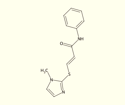 Cn1ccnc1S/C=C/C(=O)Nc1ccccc1